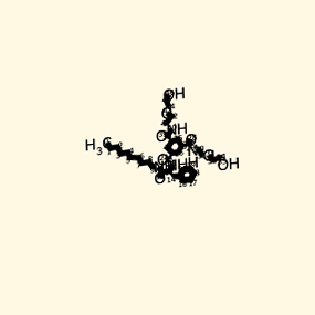 CCCCCCCCCCNC(=O)[C@H](Cc1ccccc1)NC(=O)[C@@H]1C[C@H](C(=O)NCCOCCO)C[C@H](C(=O)NCCOCCO)C1